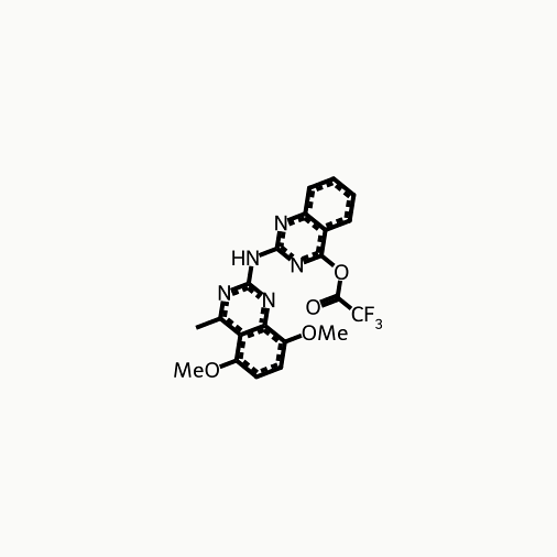 COc1ccc(OC)c2c(C)nc(Nc3nc(OC(=O)C(F)(F)F)c4ccccc4n3)nc12